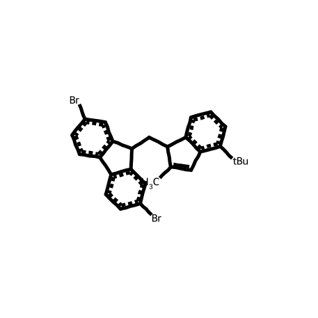 CC1=Cc2c(cccc2C(C)(C)C)C1CC1c2cc(Br)ccc2-c2ccc(Br)cc21